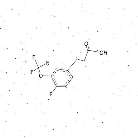 O=C(O)CCc1ccc(F)c(OC(F)(F)F)c1